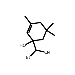 CCC(C#N)C1(O)C=C(C)CC(C)(C)C1